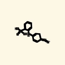 [N-]=[N+]=C1C=CC(Nc2ccccc2P(=O)(O)O)=CC1